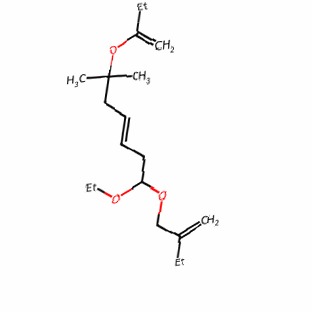 C=C(CC)COC(CC=CCC(C)(C)OC(=C)CC)OCC